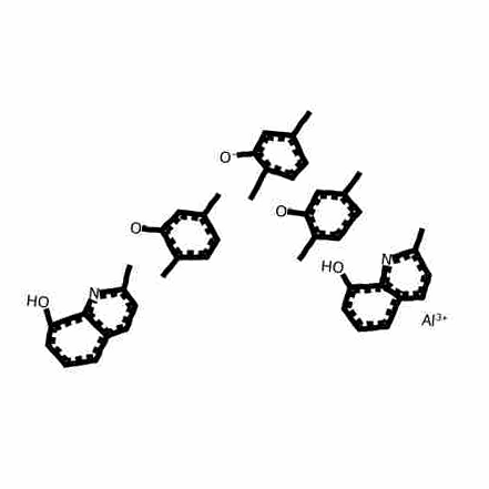 Cc1ccc(C)c([O-])c1.Cc1ccc(C)c([O-])c1.Cc1ccc(C)c([O-])c1.Cc1ccc2cccc(O)c2n1.Cc1ccc2cccc(O)c2n1.[Al+3]